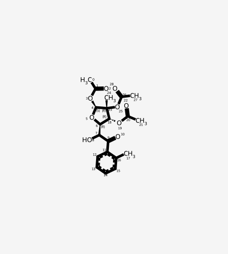 CC(=O)O[C@@H]1O[C@H](C(O)C(=O)c2ccccc2C)[C@@H](OC(C)=O)[C@@]1(C)OC(C)=O